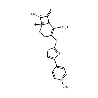 C[n+]1ccc(-c2csc(SC3=C(C(=O)O)N4C(=O)[C@@H](N)[C@H]4SC3)n2)cc1